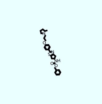 CC1CCCN1CCCOc1ccc(-c2nc3c(s2)CC(NC(=O)OCc2ccccc2)C3)cc1